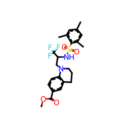 COC(=O)c1ccc2c(c1)CCCN2CC(NS(=O)(=O)c1c(C)cc(C)cc1C)C(F)(F)F